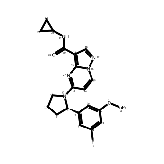 CCCOc1cc(F)cc([C@H]2CCCN2c2ccn3ncc(C(=O)NC4CC4)c3n2)c1